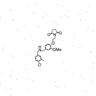 COc1cc(CN[C@@H](C)c2ccc(Cl)c(C)c2)ccc1OCCN1C(=O)CCC1=O